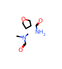 C1CCOC1.CN(C)C=O.NC=O